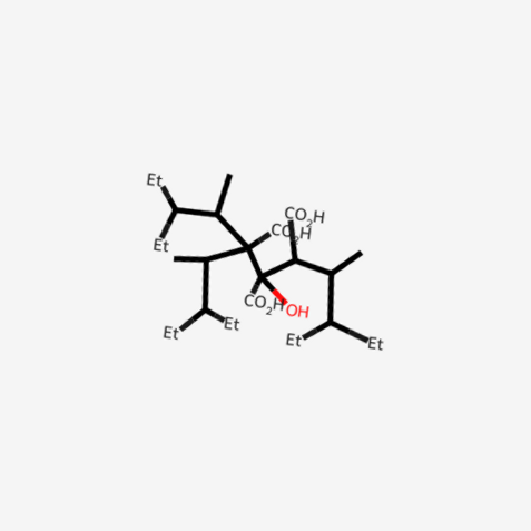 CCC(CC)C(C)C(C(=O)O)C(O)(C(=O)O)C(C(=O)O)(C(C)C(CC)CC)C(C)C(CC)CC